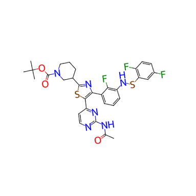 CC(=O)Nc1nccc(-c2sc(C3CCCN(C(=O)OC(C)(C)C)C3)nc2-c2cccc(NSc3cc(F)ccc3F)c2F)n1